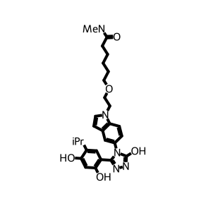 CNC(=O)CCCCCOCCn1ccc2cc(-n3c(O)nnc3-c3cc(C(C)C)c(O)cc3O)ccc21